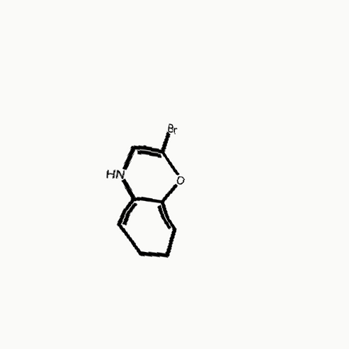 BrC1=CNC2=CCCC=C2O1